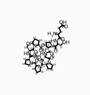 N[C@@H](CCC(=O)O)C(=O)N[C@@H](CO)C(=O)N1CCC[C@H]1C(=O)N[C@@H](CO)C(=O)N1CCC[C@H]1C(=O)N1CCC[C@H]1C(=O)N1CCC[C@H]1C(=O)N[C@@H](CO)C(=O)N1CCC[C@H]1C(=O)O